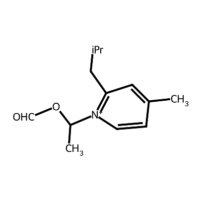 Cc1cc[n+](C(C)OC=O)c(CC(C)C)c1